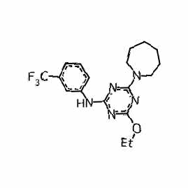 CCOc1nc(Nc2cccc(C(F)(F)F)c2)nc(N2CCCCCC2)n1